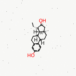 CC[C@H]1[C@H]2[C@@H]3CCc4cc(O)ccc4[C@H]3CC[C@]2(C)C[C@@H]1O